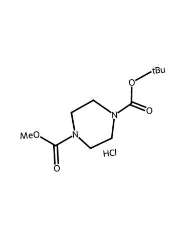 COC(=O)N1CCN(C(=O)OC(C)(C)C)CC1.Cl